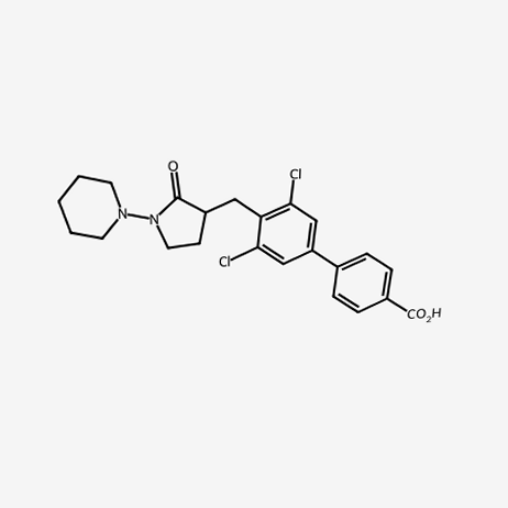 O=C(O)c1ccc(-c2cc(Cl)c(CC3CCN(N4CCCCC4)C3=O)c(Cl)c2)cc1